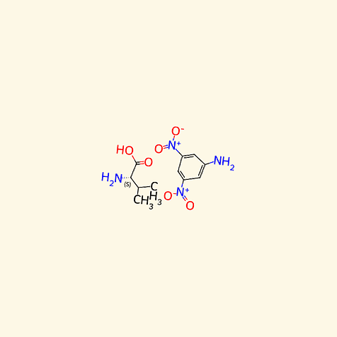 CC(C)[C@H](N)C(=O)O.Nc1cc([N+](=O)[O-])cc([N+](=O)[O-])c1